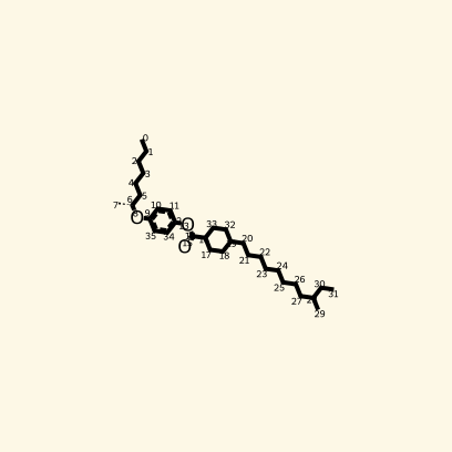 CCCCCC[C@@H](C)Oc1ccc(OC(=O)C2CCC(CCCCCCCCC(C)CC)CC2)cc1